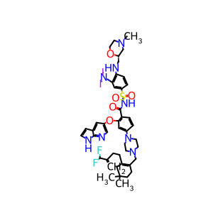 C=C(CCC1=C(CN2CCN(c3ccc(C(=O)NS(=O)(=O)c4ccc(NC[C@@H]5CN(C)CCO5)c(N(I)I)c4)c(Oc4cnc5[nH]ccc5c4)c3)CC2)CCC(C)(C)C1)C(F)F